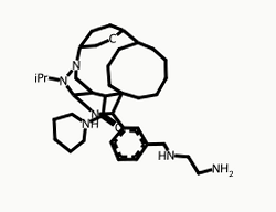 CC(C)N1C2NC(c3cccc(CNCCN)c3)C34CCCCCC(CCC3)C3CCC(CC3)N1CC2C4C(=O)N1CCCCC1